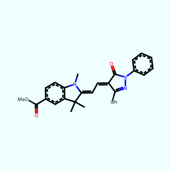 CCCC1=NN(c2ccccc2)C(=O)/C1=C/C=C1\N(C)c2ccc(C(=O)OC)cc2C1(C)C